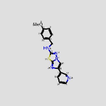 COc1ccc(CNc2nn3cc(-c4cccnc4)nc3s2)cc1